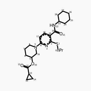 CCCSc1nc(N2CCCC(OC(=O)C3CC3)C2)ccc1C(=O)NC1CCCCC1